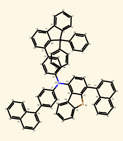 c1ccc(C2(c3ccccc3)c3ccccc3-c3cccc(-c4ccc(N(c5ccc(-c6cccc7ccccc67)cc5)c5ccc(-c6cccc7ccccc67)c6sc7ccccc7c56)cc4)c32)cc1